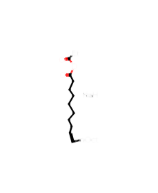 CCCCCCCC/C=C\CCCCCCCC(=O)OC(=O)CC.[NaH]